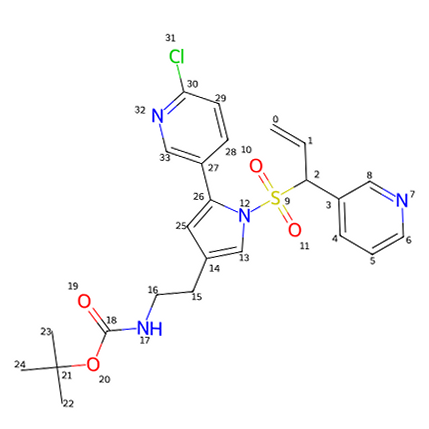 C=CC(c1cccnc1)S(=O)(=O)n1cc(CCNC(=O)OC(C)(C)C)cc1-c1ccc(Cl)nc1